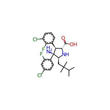 CC(C)C(C)(C)C[C@@H]1N[C@@H](C(=O)O)[C@H](c2cccc(Cl)c2F)[C@@]1(N)c1ccc(Cl)cc1F